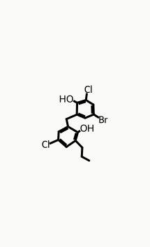 CCCc1cc(Cl)cc(Cc2cc(Br)cc(Cl)c2O)c1O